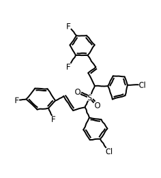 O=S(=O)(C(C=Cc1ccc(F)cc1F)c1ccc(Cl)cc1)C(C=Cc1ccc(F)cc1F)c1ccc(Cl)cc1